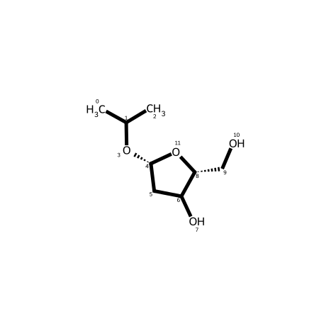 CC(C)O[C@H]1CC(O)[C@@H](CO)O1